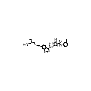 CCN(CCO)CCC#Cc1ccc2c(NCC3=NNC(C(=O)Nc4cccc(F)c4)C3)ncnc2c1